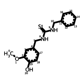 COc1cc(CNC(=S)NCc2ccccc2)ccc1O